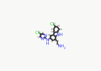 NCCc1cc(Nc2ncc(Cl)cn2)cc2c1[nH]c1ccc(Cl)cc12